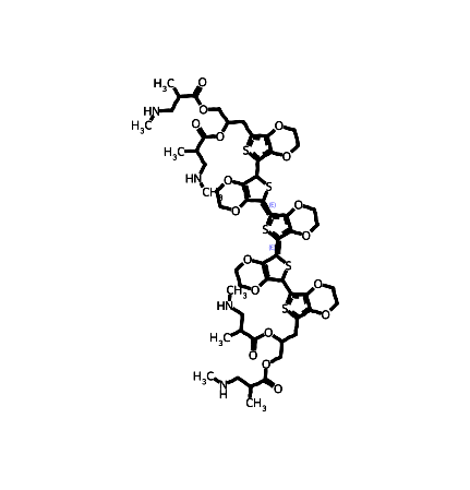 CNCC(C)C(=O)OCC(Cc1sc(C2S/C(=c3/s/c(=C4/SC(c5sc(CC(COC(=O)C(C)CNC)OC(=O)C(C)CNC)c6c5OCCO6)C5=C4OCCO5)c4c3OCCO4)C3=C2OCCO3)c2c1OCCO2)OC(=O)C(C)CNC